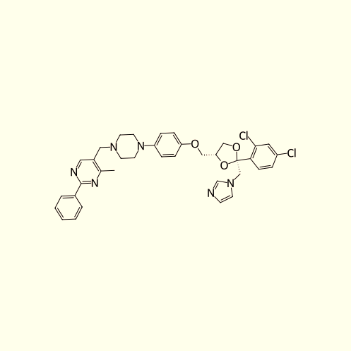 Cc1nc(-c2ccccc2)ncc1CN1CCN(c2ccc(OC[C@@H]3CO[C@@](Cn4ccnc4)(c4ccc(Cl)cc4Cl)O3)cc2)CC1